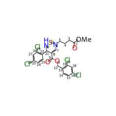 COC(=O)CCCN1C=C(C(=O)OCc2ccc(Cl)cc2Cl)C(c2ccc(Cl)cc2Cl)NS1